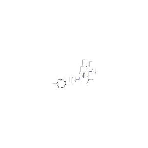 C=C(C)N(/N=C(\C)N[C@H](C)c1ccc(C)c(C)c1)/C(=N\C)C(F)(F)F